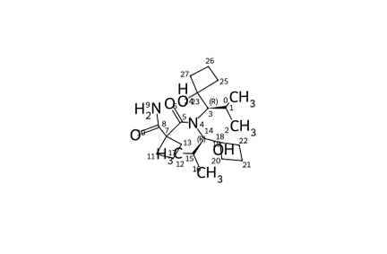 CC(C)[C@@H](N(C(=O)C1(C(N)=O)CCC1)[C@H](C(C)C)C1(O)CCC1)C1(O)CCC1